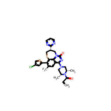 C=CC(=O)N1[C@H](C)CN(c2nc(=O)n3c4c(c(-c5cc(Cl)cs5)c(C(F)(F)F)cc24)SC[C@H](c2ncccn2)C3)C[C@@H]1C